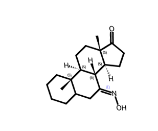 C[C@]12CCCCC1C/C(=N\O)[C@@H]1[C@@H]2CC[C@]2(C)C(=O)CC[C@@H]12